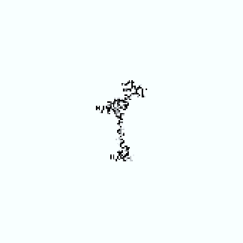 CC(C)(C)OC[C@H](NC(=O)OCC1c2ccccc2-c2ccccc21)C(=O)NCCOCCOCCOCC(=O)OC(C)(C)C